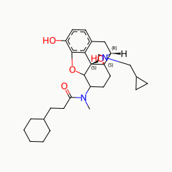 CN(C(=O)CCC1CCCCC1)C1CC[C@@]2(O)[C@H]3Cc4ccc(O)c5c4[C@@]2(CCN3CC2CC2)C1O5